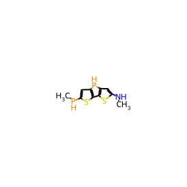 CNc1cc2[pH]c3cc(PC)sc3c2s1